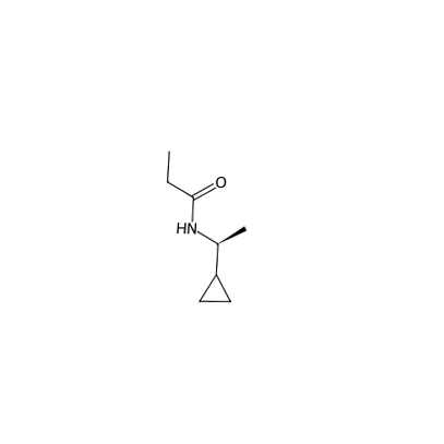 CCC(=O)N[C@@H](C)C1CC1